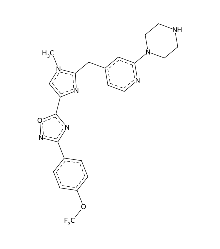 Cn1cc(-c2nc(-c3ccc(OC(F)(F)F)cc3)no2)nc1Cc1ccnc(N2CCNCC2)c1